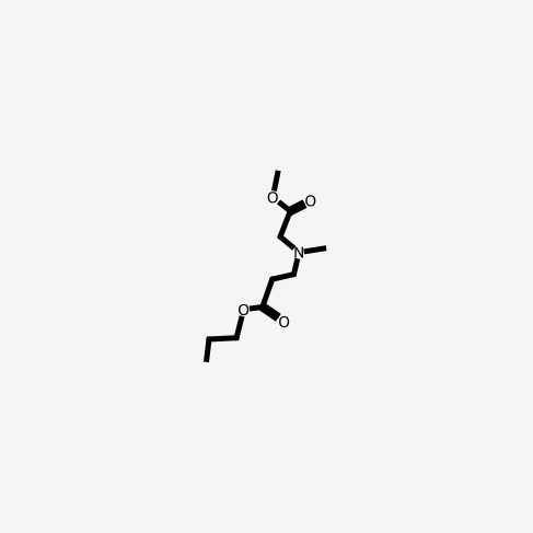 CCCOC(=O)CCN(C)CC(=O)OC